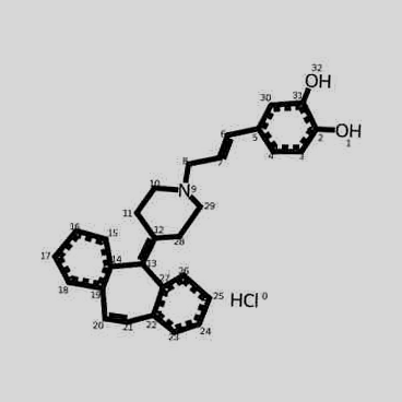 Cl.Oc1ccc(C=CCN2CCC(=C3c4ccccc4C=Cc4ccccc43)CC2)cc1O